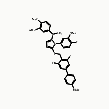 CNc1ccc(-c2cc(F)c(CSc3ncc(N(C)c4ccc(OC)c(OC)c4)n3-c3ccc(F)c(OC)c3)c(F)c2)cc1